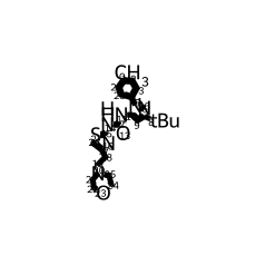 Cc1ccc(-n2nc(C(C)(C)C)cc2NC(=O)Nc2nc(CCN3CCOCC3)cs2)cc1